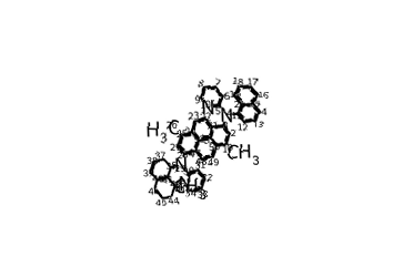 Cc1cc(N(c2ccccn2)c2cccc3ccccc23)c2ccc3c(C)cc(N(c4ccccn4)C4CC=CC5=C4C(C)CC=C5)c4ccc1c2c34